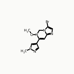 CON1Cn2c(Br)cnc2C=C1c1cnn(C)c1